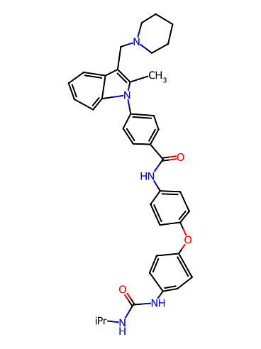 Cc1c(CN2CCCCC2)c2ccccc2n1-c1ccc(C(=O)Nc2ccc(Oc3ccc(NC(=O)NC(C)C)cc3)cc2)cc1